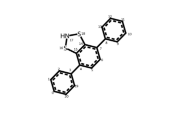 c1ccc(-c2ccc(-c3ccccc3)c3c2SNS3)cc1